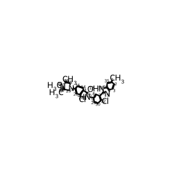 Cc1ccc2nc(-c3cc(NC(=O)c4ccc(N5C[C@@H](C)N(C)[C@@H](C)C5)cc4Cl)ccc3Cl)[nH]c2c1